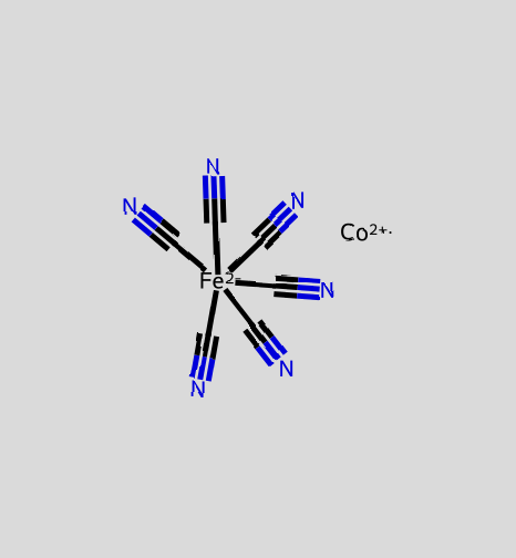 N#[C][Fe-2]([C]#N)([C]#N)([C]#N)([C]#N)[C]#N.[Co+2]